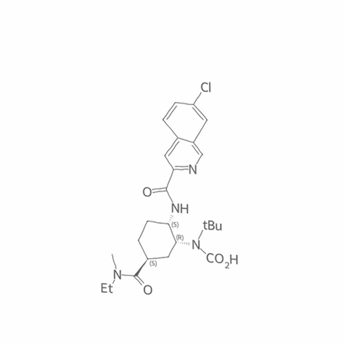 CCN(C)C(=O)[C@H]1CC[C@H](NC(=O)c2cc3ccc(Cl)cc3cn2)[C@H](N(C(=O)O)C(C)(C)C)C1